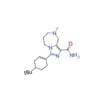 CN1CCCn2c(C3=CCC(C(C)(C)C)CC3)nc(C(N)=O)c2C1